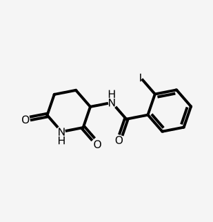 O=C1CCC(NC(=O)c2ccccc2I)C(=O)N1